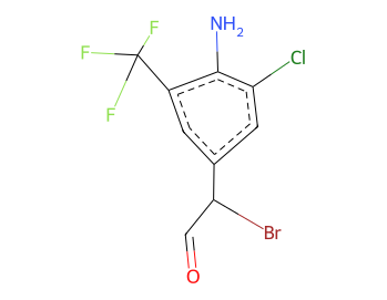 Nc1c(Cl)cc(C(Br)C=O)cc1C(F)(F)F